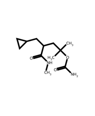 CNC(=O)C(CC1CC1)CC(C)(C)OC(N)=O